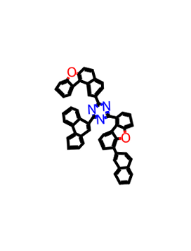 c1ccc2cc(-c3cccc4c3oc3cccc(-c5nc(-c6ccc7ccc8oc9ccccc9c8c7c6)nc(-c6cc7ccccc7c7ccccc67)n5)c34)ccc2c1